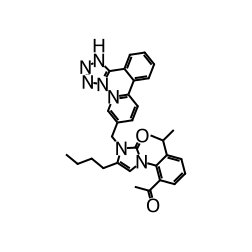 CCCCc1cn(-c2c(C(C)=O)cccc2C(C)C)c(=O)n1Cc1ccc(-c2ccccc2-c2nnn[nH]2)nc1